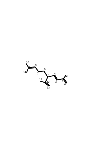 C=C(C)C=CC(CCC=C(C)C)C(=C)C